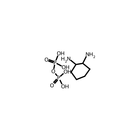 NC1CCCCC1N.O=P(O)(O)OP(=O)(O)O